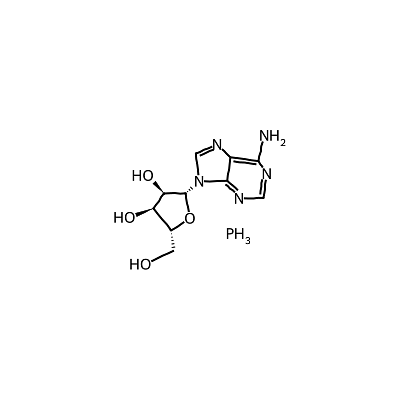 Nc1ncnc2c1ncn2[C@@H]1O[C@H](CO)[C@@H](O)[C@H]1O.P